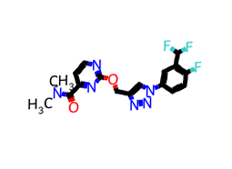 CN(C)C(=O)c1ccnc(OCc2cn(-c3ccc(F)c(C(F)F)c3)nn2)n1